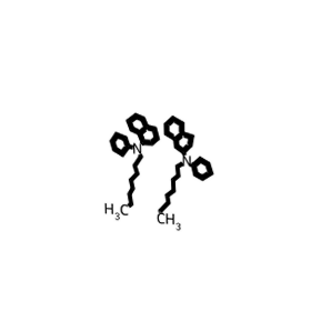 CCCCCCCCN(c1ccccc1)c1ccc2ccccc2c1.CCCCCCCCN(c1ccccc1)c1cccc2ccccc12